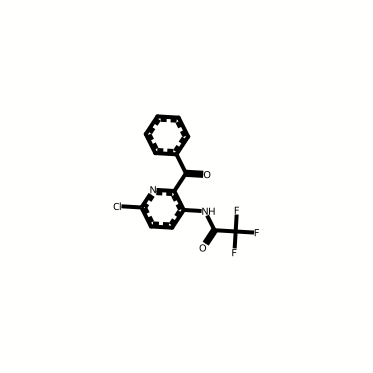 O=C(c1ccccc1)c1nc(Cl)ccc1NC(=O)C(F)(F)F